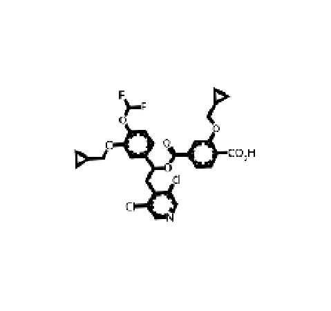 O=C(OC(Cc1c(Cl)cncc1Cl)c1ccc(OC(F)F)c(OCC2CC2)c1)c1ccc(C(=O)O)c(OCC2CC2)c1